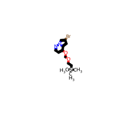 C[Si](C)(C)CCOCOc1ccnn2cc(Br)cc12